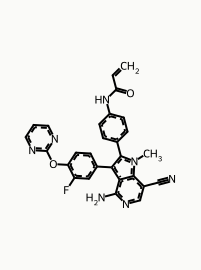 C=CC(=O)Nc1ccc(-c2c(-c3ccc(Oc4ncccn4)c(F)c3)c3c(N)ncc(C#N)c3n2C)cc1